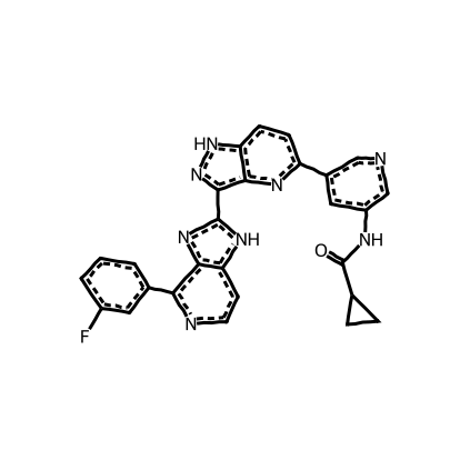 O=C(Nc1cncc(-c2ccc3[nH]nc(-c4nc5c(-c6cccc(F)c6)nccc5[nH]4)c3n2)c1)C1CC1